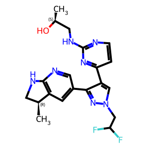 C[C@H](O)CNc1nccc(-c2cn(CC(F)F)nc2-c2cnc3c(c2)[C@@H](C)CN3)n1